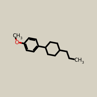 CCCC1CCC(c2ccc(OC)cc2)CC1